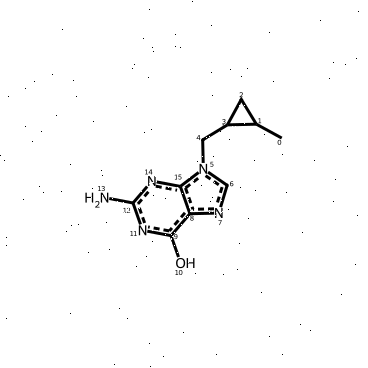 CC1C[C]1Cn1cnc2c(O)nc(N)nc21